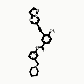 Cc1ccc(C(=O)Nc2cccc(CN3CCCCC3)c2)cc1C#Cc1cnc2ccnn2c1